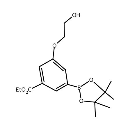 CCOC(=O)c1cc(OCCO)cc(B2OC(C)(C)C(C)(C)O2)c1